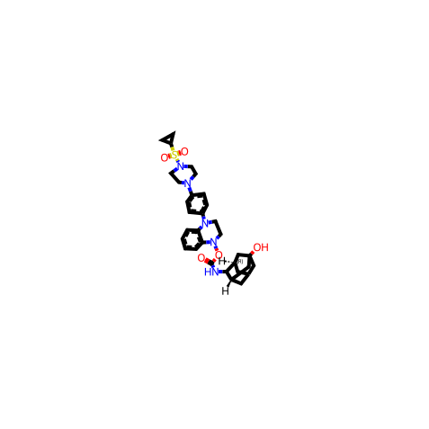 O=C(NC1[C@@H]2CC3C[C@H]1CC(O)(C3)C2)ON1CCN(c2ccc(N3CCN(S(=O)(=O)C4CC4)CC3)cc2)c2ccccc21